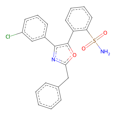 NS(=O)(=O)c1ccccc1-c1oc(Cc2ccccc2)nc1-c1cccc(Cl)c1